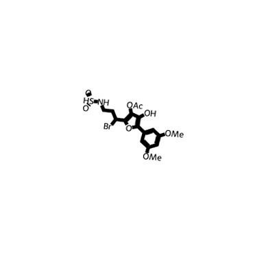 COc1cc(OC)cc(-c2oc(C(Br)CCN[SH](=O)=O)c(OC(C)=O)c2O)c1